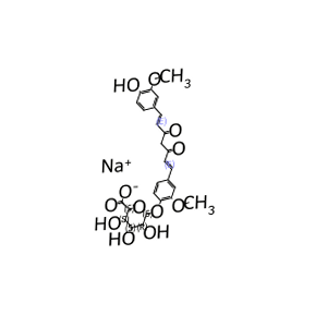 COc1cc(/C=C/C(=O)CC(=O)/C=C/c2ccc(O[C@@H]3O[C@H](C(=O)[O-])[C@@H](O)[C@H](O)[C@H]3O)c(OC)c2)ccc1O.[Na+]